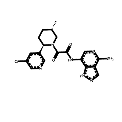 C[C@H]1CC[C@H](c2cncc(Cl)c2)N(C(=O)C(=O)Nc2cnc(N)c3cn[nH]c23)C1